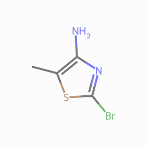 Cc1sc(Br)nc1N